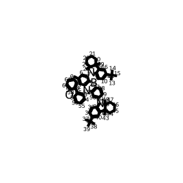 Cc1cc2c3c(c1)N1c4c(cc(C(C)(C)C)cc4C4(C)CCCCC14C)B3c1ccc(N3c4ccc(C(C)(C)C)cc4C4(C)CCCCC34C)cc1N2c1cccc2oc3ccccc3c12